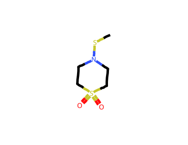 CSN1CCS(=O)(=O)CC1